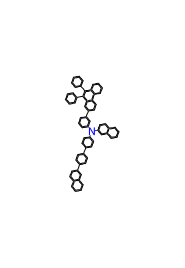 c1ccc(-c2c(-c3ccccc3)c3cc(-c4cccc(N(c5ccc(-c6ccc(-c7ccc8ccccc8c7)cc6)cc5)c5ccc6ccccc6c5)c4)ccc3c3ccccc23)cc1